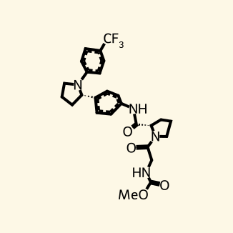 COC(=O)NCC(=O)N1CCC[C@H]1C(=O)Nc1ccc([C@@H]2CCCN2c2ccc(C(F)(F)F)cc2)cc1